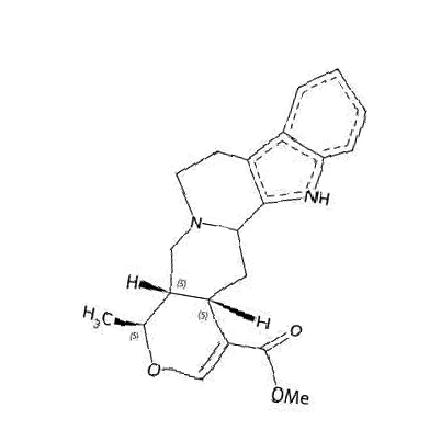 COC(=O)C1=CO[C@@H](C)[C@@H]2CN3CCc4c([nH]c5ccccc45)C3C[C@H]12